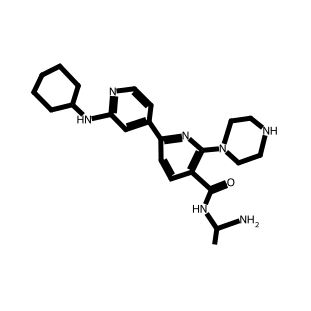 CC(N)NC(=O)c1ccc(-c2ccnc(NC3CCCCC3)c2)nc1N1CCNCC1